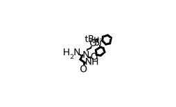 CC(C)(C)[Si](OCCn1c(N)cc(=O)[nH]c1=O)(c1ccccc1)c1ccccc1